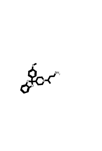 CSc1ccc(C2(C3CCN(C(C)CCN)CC3)Oc3ccccc3O2)cc1